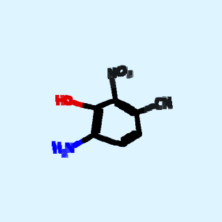 N#Cc1ccc(N)c(O)c1[N+](=O)[O-]